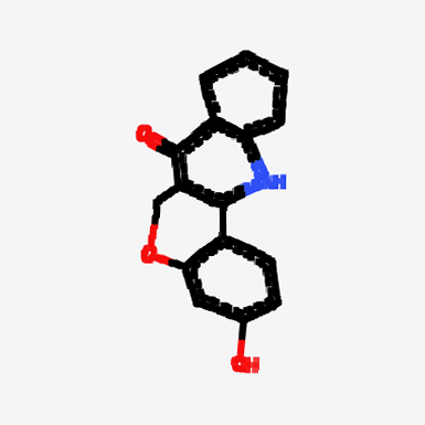 O=c1c2c([nH]c3ccccc13)-c1ccc(O)cc1OC2